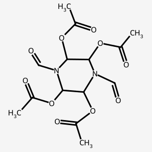 CC(=O)OC1C(OC(C)=O)N(C=O)C(OC(C)=O)C(OC(C)=O)N1C=O